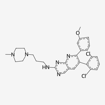 COc1cccc(-c2nc3nc(NCCCN4CCN(C)CC4)ncc3cc2-c2c(Cl)cccc2Cl)c1